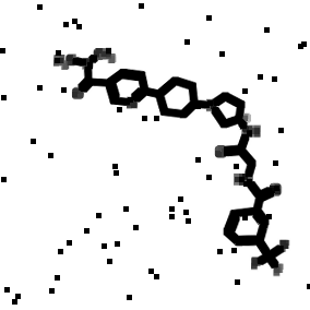 CN(C)C(=O)c1ccc(C2CCC(N3CC[C@@H](NC(=O)CNC(=O)c4cccc(C(F)(F)F)c4)C3)CC2)nc1